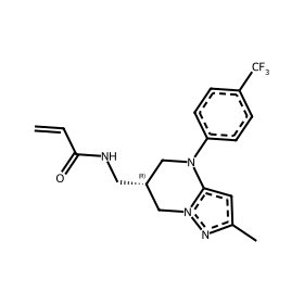 C=CC(=O)NC[C@@H]1CN(c2ccc(C(F)(F)F)cc2)c2cc(C)nn2C1